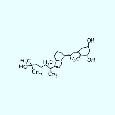 C=C1/C(=C\C=C2/CCC[C@]3(C)C([C@@H](C)CCCC(C)(C)O)=CCC23)C[C@@H](O)C[C@@H]1O